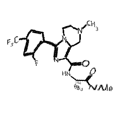 CNC(=O)[C@@H](NC(=O)c1nc(-c2ccc(C(F)(F)F)cc2F)n2c1CN(C)CC2)C(C)(C)C